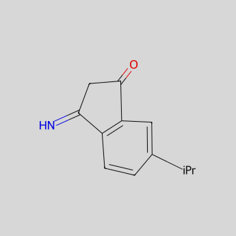 CC(C)c1ccc2c(c1)C(=O)CC2=N